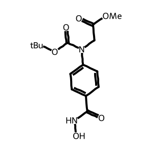 COC(=O)CN(C(=O)OC(C)(C)C)c1ccc(C(=O)NO)cc1